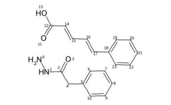 NNC(=O)Cc1ccccc1.O=C(O)C=CC=Cc1ccccc1